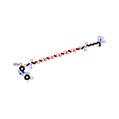 COc1cc2ncnc(Nc3ccc(F)c(Cl)c3)c2cc1OCCNC(=O)CCOCCOOCCOOCCOOCCOOCCOOCCOCCNC(=O)CCCCC1SCC2NC(=O)NC21